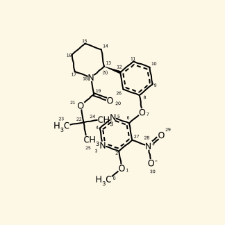 COc1ncnc(Oc2cccc([C@@H]3CCCCN3C(=O)OC(C)(C)C)c2)c1[N+](=O)[O-]